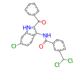 O=C(Nc1c(C(=O)c2ccccc2)[nH]c2cc(Cl)ccc12)c1cccc(C(Cl)Cl)c1